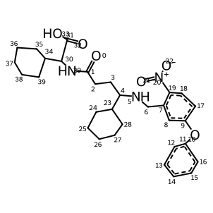 O=C(CCC(NCc1cc(Oc2ccccc2)ccc1[N+](=O)[O-])C1CCCCC1)NC(C(=O)O)C1CCCCC1